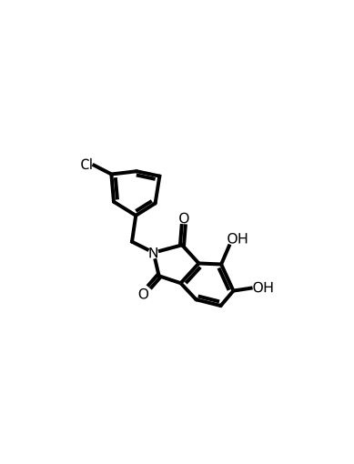 O=C1c2ccc(O)c(O)c2C(=O)N1Cc1cccc(Cl)c1